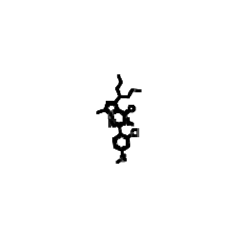 CCCC(CCC)c1cc(C)n2nc(-c3ccc(SC)cc3Cl)n(C)c(=O)c12